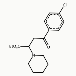 CCOC(=O)C(CC(=O)c1ccc(Cl)cc1)N1CCCCC1